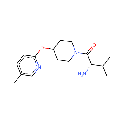 Cc1ccc(OC2CCN(C(=O)[C@@H](N)C(C)C)CC2)nc1